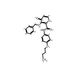 CCCCOc1ccc(NC(=O)c2occc(=O)c2OCc2ccccc2)cc1